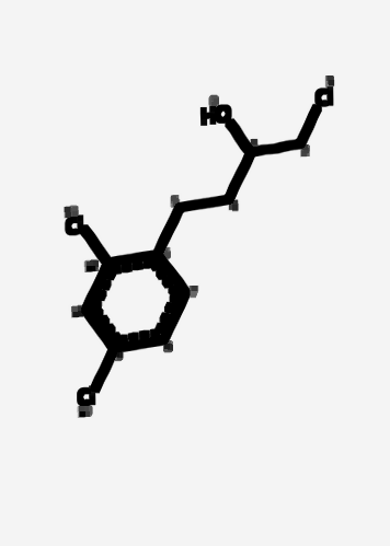 OC(CCl)CCc1ccc(Cl)cc1Cl